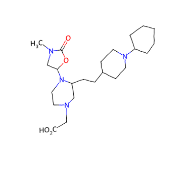 CN1CC(N2CCN(CC(=O)O)CC2CCC2CCN(C3CCCCC3)CC2)OC1=O